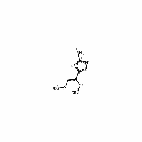 CC(C)(C)SC=C(SC(C)(C)C)c1nnc(N)s1